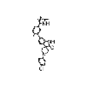 Cc1nnc(-c2ccc(C)c(-c3ccc4c(c3)NC(=O)C43CCN(c4ccc(Cl)cc4)CC3)c2)[nH]1